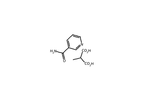 CC(C(=O)O)C(=O)O.NC(=O)c1cccnc1